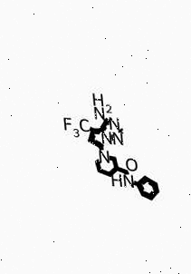 Nc1ncnn2c(N3CCCC(C(=O)Nc4ccccc4)C3)cc(C(F)(F)F)c12